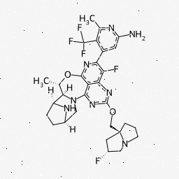 Cc1nc(N)cc(-c2nc3c4c(nc(OC[C@@]56CCCN5C[C@H](F)C6)nc4c2F)N2C[C@H]4CC[C@H](N4)[C@H]2[C@H](C)O3)c1C(F)(F)F